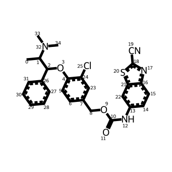 CC(C(Oc1ccc(COC(=O)Nc2ccc3nc(C#N)sc3c2)cc1Cl)c1ccccc1)N(C)C